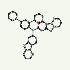 c1ccc(-c2ccc(N(c3ccc4c(c3)oc3cccnc34)c3ccc4c(c3)oc3cccnc34)c(-c3ccccc3)c2)cc1